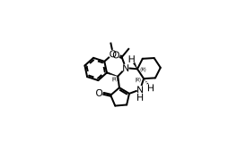 COc1ccccc1[C@@H]1C2=C(CCC2=O)N[C@@H]2CCCC[C@H]2N1C(C)=O